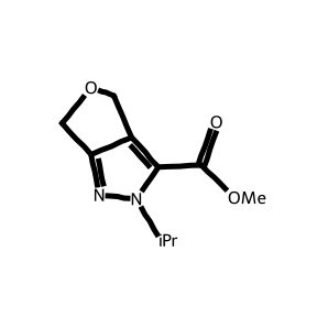 COC(=O)c1c2c(nn1C(C)C)COC2